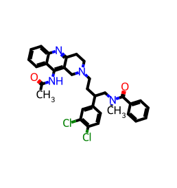 CC(=O)Nc1c2c(nc3ccccc13)CCN(CCC(CN(C)C(=O)c1ccccc1)c1ccc(Cl)c(Cl)c1)C2